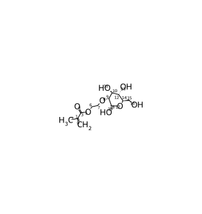 C=C(C)C(=O)OCCO[C@@H]1[C@@H](O)[C@H](O)[C@@H](CO)O[C@@H]1O